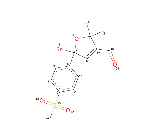 CC1(C)OC(Br)(c2ccc(S(C)(=O)=O)cc2)C=C1C=O